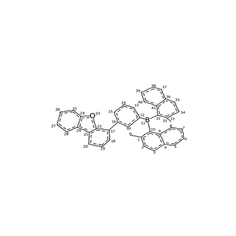 Cc1ccc2ccccc2c1B(c1cccc(-c2cccc3c2oc2ccccc23)c1)c1c(C)ccc2ccccc12